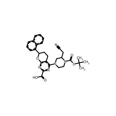 CC(C)(C)OC(=O)N1CCN(c2nc(C(=O)O)nc3c2CCC(c2cccc4ccccc24)O3)CC1CC#N